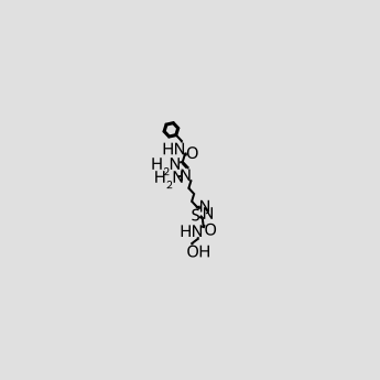 N/C(=C\N(N)CCCCc1nnc(C(=O)NCCO)s1)C(=O)NCc1ccccc1